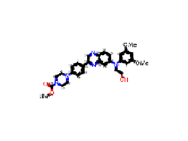 COc1cc(OC)cc(N(CCO)c2ccc3ncc(-c4ccc(N5CCN(C(=O)OC(C)(C)C)CC5)cc4)nc3c2)c1